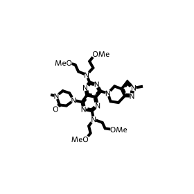 COCCN(CCOC)c1nc(N2CCc3nn(C)cc3C2)c2nc(N(CCOC)CCOC)nc(N3CCN(C)C(=O)C3)c2n1